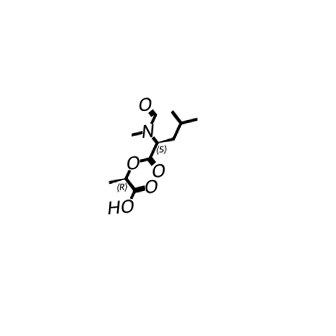 CC(C)C[C@@H](C(=O)O[C@H](C)C(=O)O)N(C)C=O